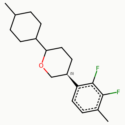 Cc1ccc([C@@H]2CCC(C3CCC(C)CC3)OC2)c(F)c1F